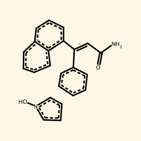 NC(=O)/C=C(\c1ccccc1)c1cccc2ccccc12.On1cccc1